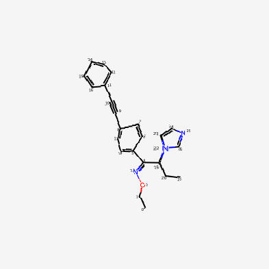 CCO/N=C(/c1ccc(C#Cc2ccccc2)cc1)C(CC)n1ccnc1